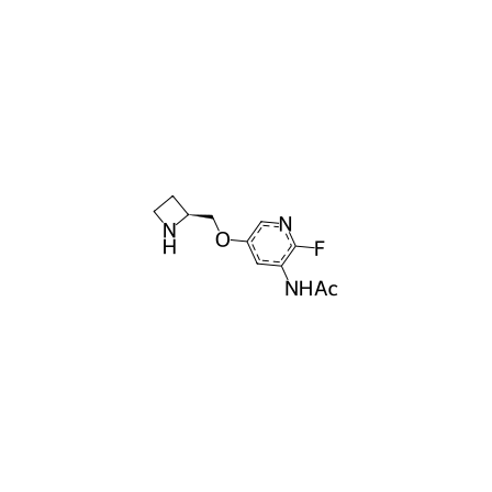 CC(=O)Nc1cc(OC[C@@H]2CCN2)cnc1F